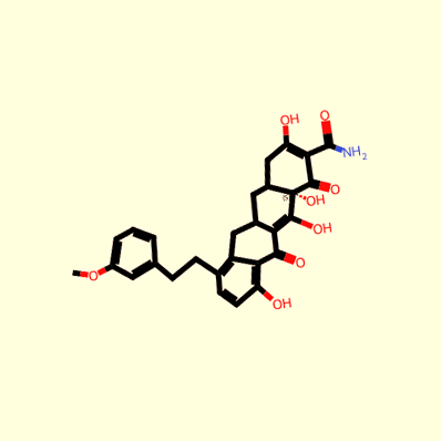 COc1cccc(CCc2ccc(O)c3c2CC2CC4CC(O)=C(C(N)=O)C(=O)[C@@]4(O)C(O)=C2C3=O)c1